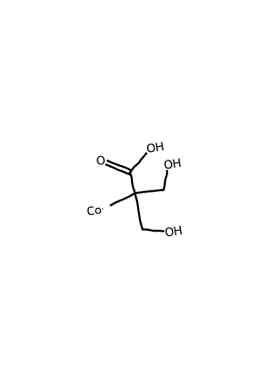 CC(CO)(CO)C(=O)O.[Co]